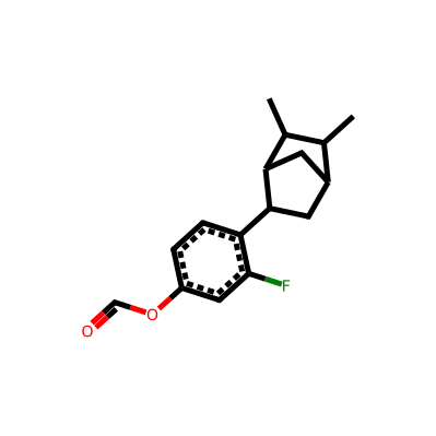 CC1C2CC(c3ccc(OC=O)cc3F)C(C2)C1C